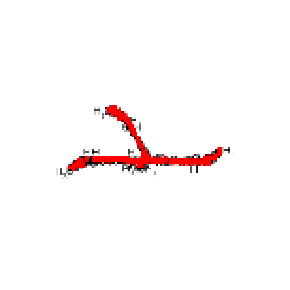 Cc1ccc2nc(-c3ccc(NCCC(=O)NCCOCCOCCOCCOCCC(=O)NCCCCC(NC(=O)CCOCCOCCOCCOCCNC(=O)CCNc4ccc(-c5nc6ccc(C)cc6s5)cc4)C(=O)NC(CCCCNC(=O)CCOCCOCCOCCOCCNC(=O)CCNc4ccc(-c5nc6ccc(C)cc6s5)cc4)C(=O)NC(C)C)cc3)sc2c1